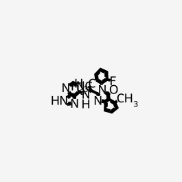 Cc1cccc(F)c1-n1c(C(C)Nc2ncnc3[nH]cnc23)nc2cccc(C)c2c1=O